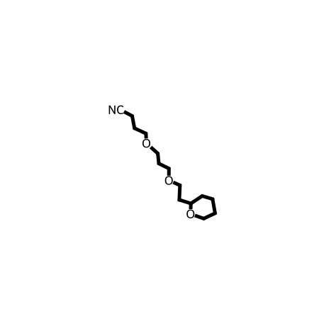 N#CCCCOCCCOCCC1CCCCO1